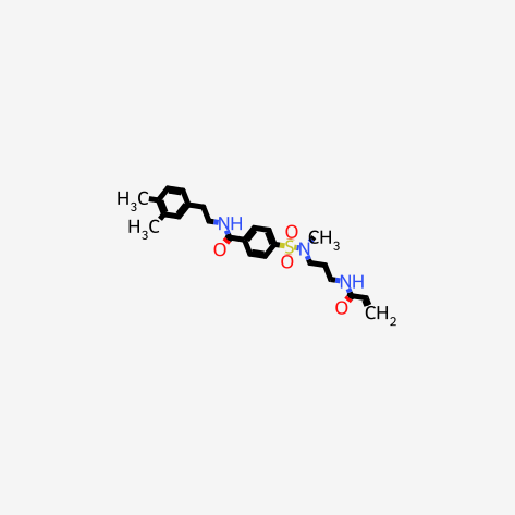 C=CC(=O)NCCCN(C)S(=O)(=O)c1ccc(C(=O)NCCc2ccc(C)c(C)c2)cc1